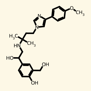 COc1ccc(-c2cn(CCC(C)(C)NCC(O)c3ccc(O)c(CO)c3)cn2)cc1